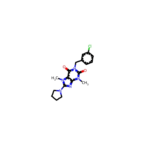 Cn1c(N2CCCC2)nc2c1c(=O)n(Cc1cccc(Cl)c1)c(=O)n2C